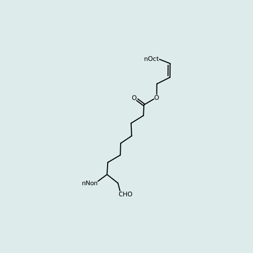 CCCCCCCC/C=C\COC(=O)CCCCCCC(CC=O)CCCCCCCCC